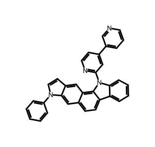 c1ccc(-n2ccc3cc4c(ccc5c6ccccc6n(-c6cc(-c7cccnc7)ccn6)c45)cc32)cc1